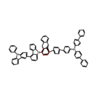 c1ccc(-c2ccc(N(c3ccc(-c4ccccc4)cc3)c3ccc(-c4ccc(-c5ccc(-n6c7ccccc7c7c(-c8ccc9c(c8)c8ccccc8n9-c8ccccc8)cccc76)c6c5C5c7ccccc7C6c6ccccc65)cc4)cc3)cc2)cc1